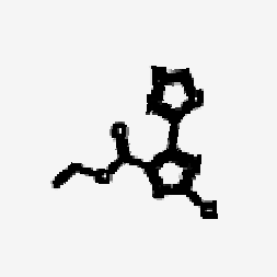 CCOC(=O)c1sc(Cl)nc1-c1nnco1